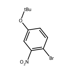 CC(C)(C)Oc1ccc(Br)c([N+](=O)[O-])c1